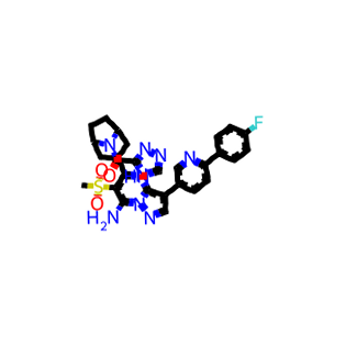 CS(=O)(=O)c1c(C2CC3CCC(C2)N3C(=O)c2nnc[nH]2)nc2c(-c3ccc(-c4ccc(F)cc4)nc3)cnn2c1N